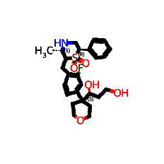 C[C@@H]1NC[C@@H](c2ccccc2)S(=O)(=O)C1Cc1ccc(C2([C@@H](O)CCO)CCOCC2)cc1F